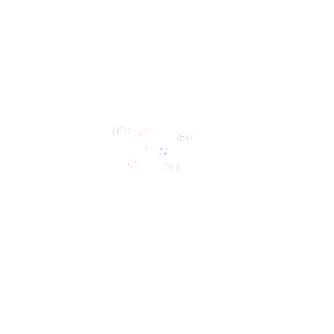 CCC(C)N(O)C(=O)OC(C)(C)C